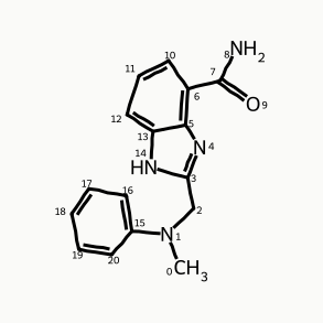 CN(Cc1nc2c(C(N)=O)cccc2[nH]1)c1ccccc1